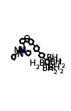 Bc1c(B)c(B)c(-c2ccc(-c3ccc(-c4ccc5oc6cccc(/C=N/C(=N\C(=N)c7ccccc7)c7ccccc7)c6c5c4)cc3)cc2)c(B)c1B